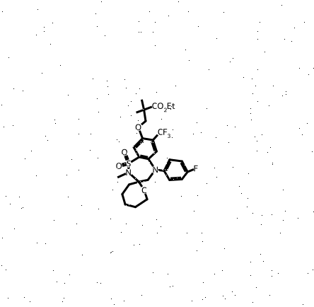 CCOC(=O)C(C)(C)COc1cc2c(cc1C(F)(F)F)N(c1ccc(F)cc1)CC1(CCCCCC1)N(C)S2(=O)=O